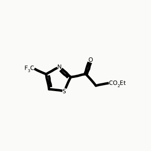 CCOC(=O)CC(=O)c1nc(C(F)(F)F)cs1